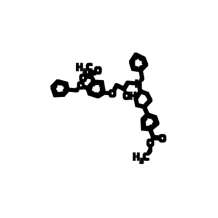 CCOC(=O)c1ccc(C2CCC(N(Cc3ccccc3)C[C@H](O)COc3ccc(OCc4ccccc4)c(S(C)(=O)=O)c3)CC2)cc1